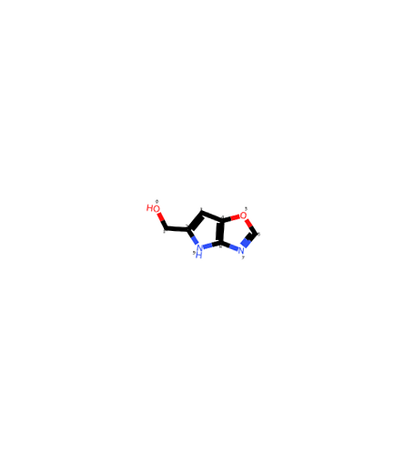 OCc1cc2ocnc2[nH]1